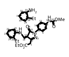 CCOC(=O)CC1=NN(c2ccc(NC(=O)OC)cc2)C(=O)C1=CNc1ccccc1CC.CCc1ccccc1N